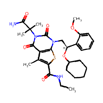 CCNC(=O)c1sc2c(c1C)c(=O)n(C(C)(C)C(N)=O)c(=O)n2C[C@H](OC1CCCCC1)c1ccccc1OC